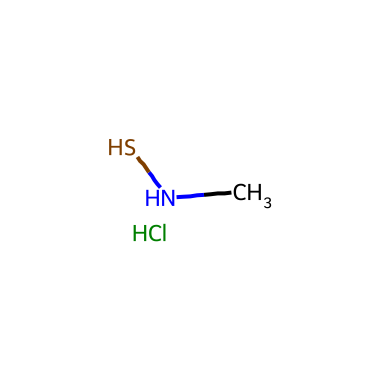 CNS.Cl